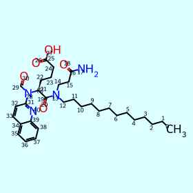 CCCCCCCCCCCCCN(CCC(N)=O)C(=O)[C@H](CCCC(=O)O)N(C=O)c1ccc2ccccc2n1